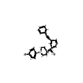 O=C(c1cccc(C#Cc2ccccc2)c1)N1CCN(c2ccc(F)cc2)CC1